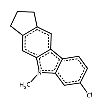 Cn1c2cc(Cl)ccc2c2cc3c(cc21)CCC3